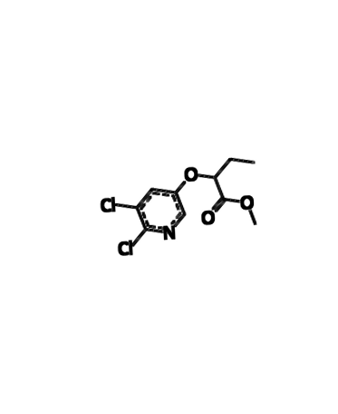 CCC(Oc1cnc(Cl)c(Cl)c1)C(=O)OC